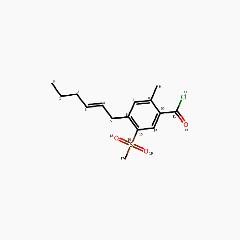 CCCC=CCc1cc(C)c(C(=O)Cl)cc1S(C)(=O)=O